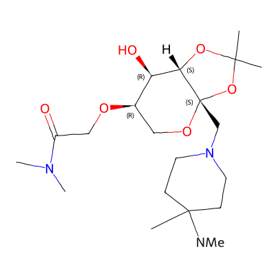 CNC1(C)CCN(C[C@@]23OC[C@@H](OCC(=O)N(C)C)[C@@H](O)[C@@H]2OC(C)(C)O3)CC1